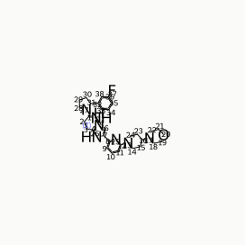 N=C(/C=C\C1NC=C(c2cccc(N3CCC(N4CCOCC4)CC3)n2)N1)N1CCCC1c1cccc(F)c1